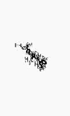 CNC(=O)c1ccc(Cn2nc(C)c(NC(=O)c3cc(C(F)(F)F)nc4ccc(Br)cc34)c2C)nc1